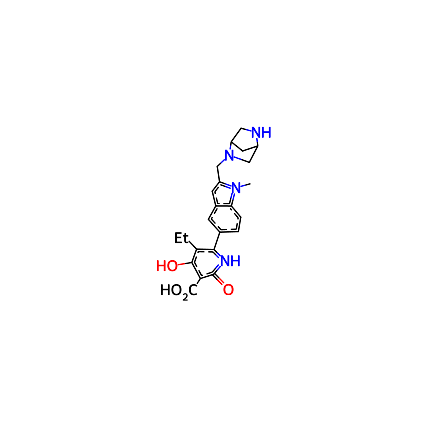 CCc1c(-c2ccc3c(c2)cc(CN2CC4CC2CN4)n3C)[nH]c(=O)c(C(=O)O)c1O